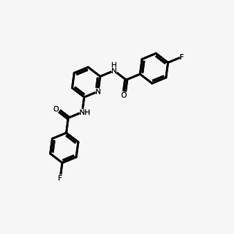 O=C(Nc1cccc(NC(=O)c2ccc(F)cc2)n1)c1ccc(F)cc1